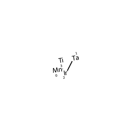 [Mn].[Ta][Ir].[Ti]